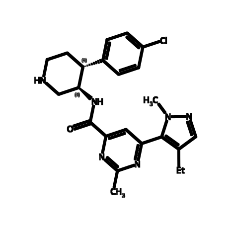 CCc1cnn(C)c1-c1cc(C(=O)N[C@H]2CNCC[C@@H]2c2ccc(Cl)cc2)nc(C)n1